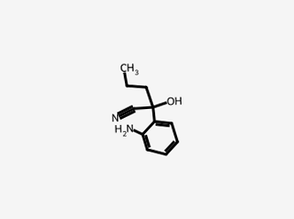 CCCC(O)(C#N)c1ccccc1N